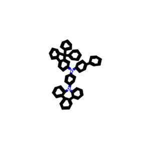 c1ccc(-c2ccc(N(c3ccc(N4c5ccccc5-c5ccccc5-c5ccccc54)cc3)c3ccc4c(c3)C(c3ccccc3)(c3ccccc3)c3ccccc3-4)cc2)cc1